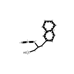 [N-]=[N+]=NC(CC(=O)O)Cc1ccc2ccccc2c1